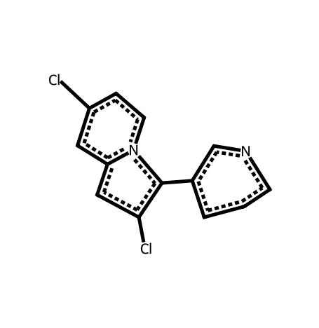 Clc1ccn2c(-c3cccnc3)c(Cl)cc2c1